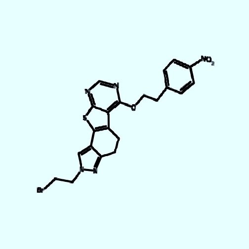 O=[N+]([O-])c1ccc(CCOc2ncnc3sc4c(c23)CCc2nn(CCBr)cc2-4)cc1